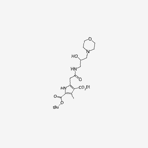 CCOC(=O)c1c(CC(=O)NCC(O)CN2CCOCC2)[nH]c(C(=O)OC(C)(C)C)c1C